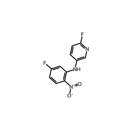 O=[N+]([O-])c1ccc(F)cc1Nc1ccc(F)nc1